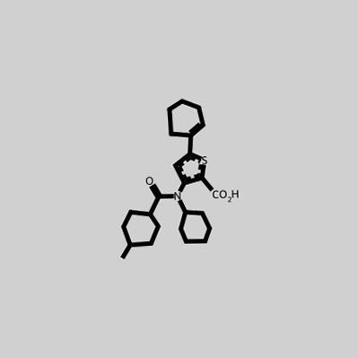 CC1CCC(C(=O)N(c2cc(C3=CCCCC3)sc2C(=O)O)C2CCCCC2)CC1